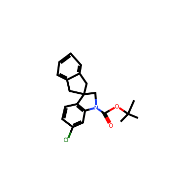 CC(C)(C)OC(=O)N1CC2(Cc3ccccc3C2)c2ccc(Cl)cc21